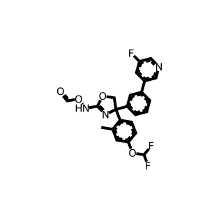 Cc1cc(OC(F)F)ccc1C1(c2cccc(-c3cncc(F)c3)c2)COC(NOC=O)=N1